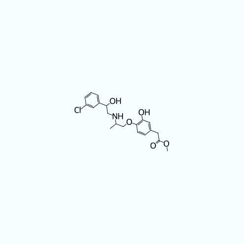 COC(=O)Cc1ccc(OCC(C)NCC(O)c2cccc(Cl)c2)c(O)c1